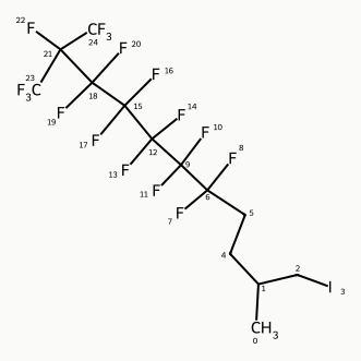 CC(CI)CCC(F)(F)C(F)(F)C(F)(F)C(F)(F)C(F)(F)C(F)(C(F)(F)F)C(F)(F)F